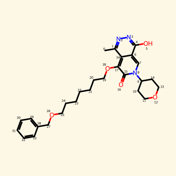 Cc1nnc(O)c2cn(C3CCOCC3)c(=O)c(OCCCCCCCOCc3ccccc3)c12